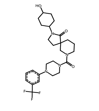 O=C(N1CCN(c2cccc(C(F)(F)F)c2)CC1)N1CCCC2(CCN(C3CCC(O)CC3)C2=O)C1